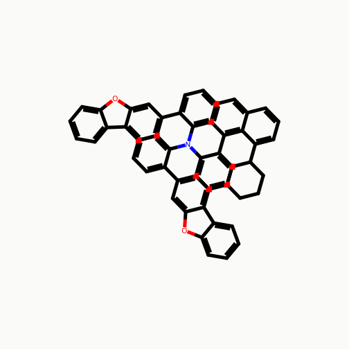 c1ccc(N(c2ccccc2-c2ccc3c(c2)oc2ccccc23)c2ccccc2-c2cccc3cccc(C4CCCCC4)c23)c(-c2ccc3c(c2)oc2ccccc23)c1